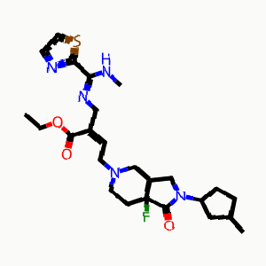 CCOC(=O)/C(=C\CN1CCC2(F)C(=O)N(C3CCC(C)C3)CC2C1)C/N=C(\NC)c1nccs1